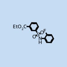 CCOC(=O)c1cccc(S(=O)(=O)Nc2ccccc2F)c1